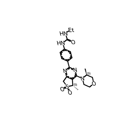 CCNC(=O)Nc1ccc(-c2nc3c(c(N4CCOC[C@@H]4C)n2)[C@H](C)S(=O)(=O)C3)cc1